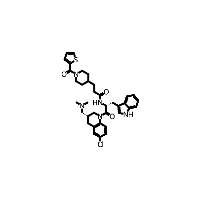 CN(C)C[C@H]1Cc2cc(Cl)ccc2N(C(=O)[C@@H](Cc2c[nH]c3ccccc23)NC(=O)CCC2CCN(C(=O)c3cccs3)CC2)C1